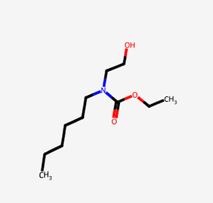 CCCCCCN(CCO)C(=O)OCC